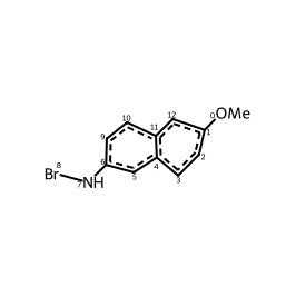 COc1ccc2cc(NBr)ccc2c1